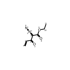 C=CC(=O)C(=[N+]=[N-])C(=O)OCC